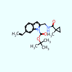 C=Cc1ccc2cc(CNC(=O)C3(C)CC3)n(C(=O)OC(C)(C)C)c2c1